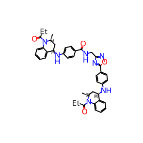 CCC(=O)N1c2ccccc2[C@H](Nc2ccc(C(=O)NCc3noc(-c4ccc(N[C@@H]5C[C@H](C)N(C(=O)CC)c6ccccc65)cc4)n3)cc2)C[C@@H]1C